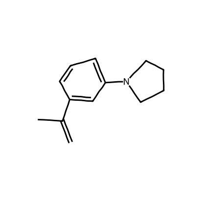 C=C(C)c1cccc(N2CCCC2)c1